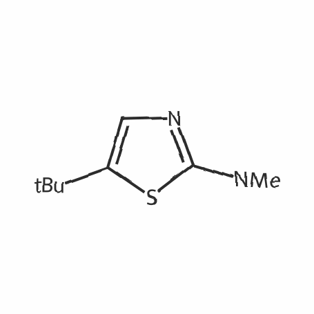 CNc1ncc(C(C)(C)C)s1